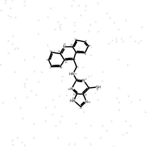 Sc1nc(NCc2c3ccccc3nc3ccccc23)nc2[nH]cnc12